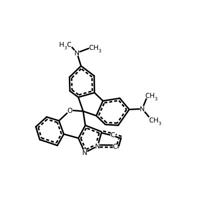 CN(C)c1ccc2c(c1)-c1cc(N(C)C)ccc1C21Oc2ccccc2-c2nn3ccccc3c21